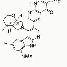 CNc1cc(F)cc2c1[nH]c1ncc(-c3cnc4[nH]cc(C(=O)O)c(=O)c4c3)c(N3C[C@@H]4OCCN(C)[C@@H]4C3)c12